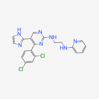 Clc1ccc(-c2nc(NCCNc3ccccn3)ncc2-c2ncc[nH]2)c(Cl)c1